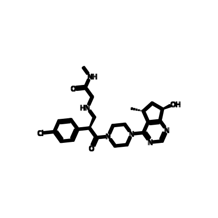 CNC(=O)CNC[C@@H](C(=O)N1CCN(c2ncnc3c2[C@H](C)C[C@H]3O)CC1)c1ccc(Cl)cc1